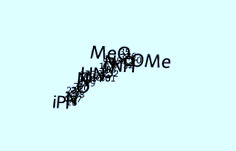 COc1ccc(CNc2nccc3c(NCc4ccnc(OCC5CCN(C(C)C)CC5)c4)cccc23)c(OC)c1